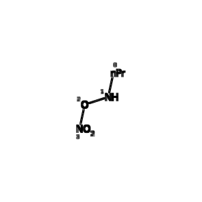 CCCNO[N+](=O)[O-]